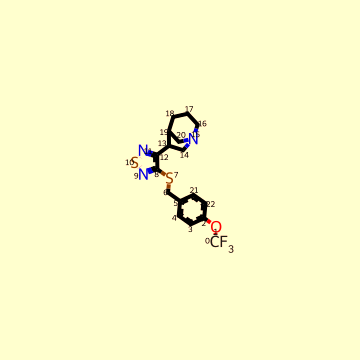 FC(F)(F)Oc1ccc(CSc2nsnc2C2CN3CCCC2C3)cc1